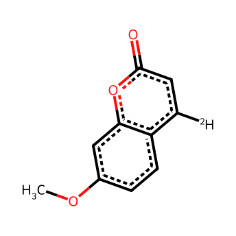 [2H]c1cc(=O)oc2cc(OC)ccc12